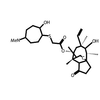 C=C[C@]1(C)C[C@@H](OC(=O)CSC2CCC(NC)CCC2O)[C@]2(C)C(C)CCC3(CCC(=O)C32)[C@@H](C)C1O